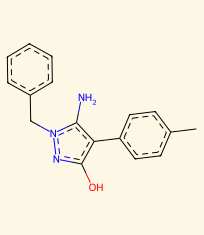 Cc1ccc(-c2c(O)nn(Cc3ccccc3)c2N)cc1